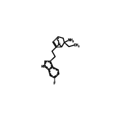 CCC1(N)CC2C=CC1N(CCc1c[nH]c3cc(F)ccc13)C2